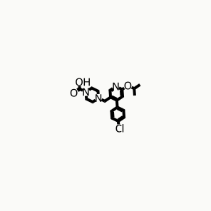 CC(C)Oc1cc(-c2ccc(Cl)cc2)c(CN2CCN(C(=O)O)CC2)cn1